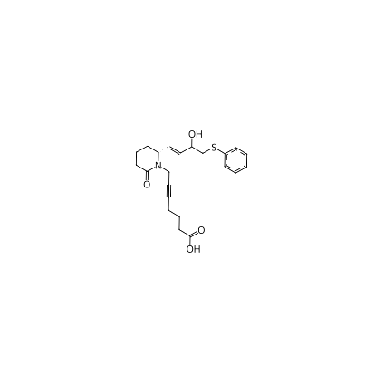 O=C(O)CCCC#CCN1C(=O)CCC[C@@H]1/C=C/C(O)CSc1ccccc1